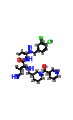 CC=C(NCc1ccc(Cl)c(Cl)c1)NC(=O)/C(NCC1CCCN(C(=O)c2cccnc2)C1)=C(\C)C=N